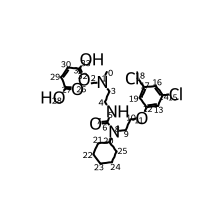 CN(C)CCNC(=O)N(CCOc1cc(Cl)cc(Cl)c1)C1CCCCC1.O=C(O)/C=C\C(=O)O